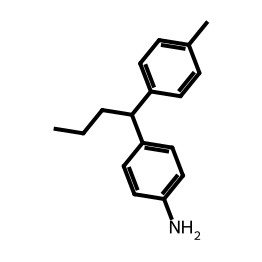 CCCC(c1ccc(C)cc1)c1ccc(N)cc1